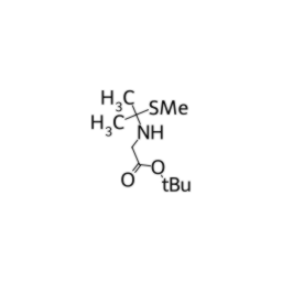 CSC(C)(C)NCC(=O)OC(C)(C)C